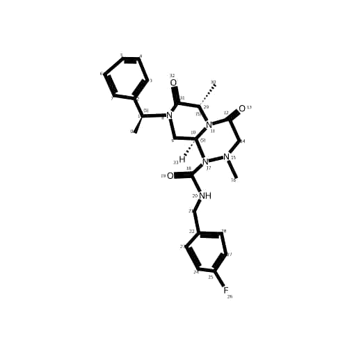 C[C@@H](c1ccccc1)N1C[C@H]2N(C(=O)CN(C)N2C(=O)NCc2ccc(F)cc2)[C@@H](C)C1=O